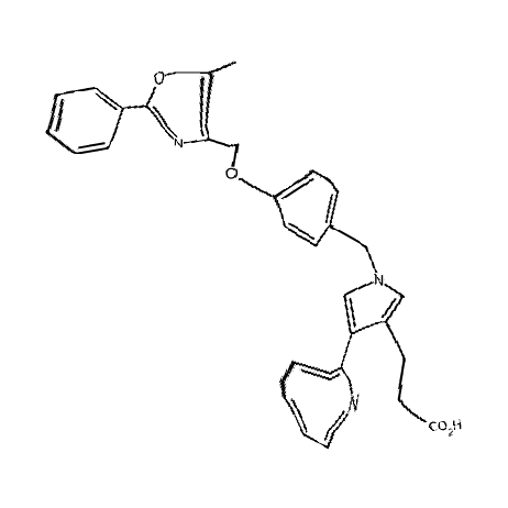 Cc1oc(-c2ccccc2)nc1COc1ccc(Cn2cc(CCC(=O)O)c(-c3ccccn3)c2)cc1